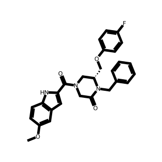 COc1ccc2[nH]c(C(=O)N3CC(=O)N(Cc4ccccc4)[C@@H](COc4ccc(F)cc4)C3)cc2c1